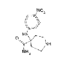 NC(=O)C1(Nc2ccc([N+](=O)[O-])cc2)CCNCC1